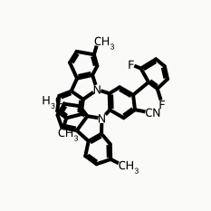 Cc1ccc2c3ccc(C)cc3n(-c3cc(C#N)c(-c4c(F)cccc4F)cc3-n3c4cc(C)ccc4c4ccc(C)cc43)c2c1